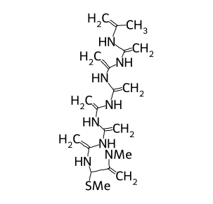 C=C(C)NC(=C)NC(=C)NC(=C)NC(=C)NC(=C)NC(=C)NC(SC)C(=C)NC